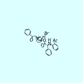 CC(=O)c1ccccc1NC(C(=O)O[C@H]1C[N+]2(CC(=O)c3ccccc3)CCC1CC2)c1ccccc1.[Br-]